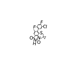 Cc1cc2c(=O)[nH]c(=O)n3c2c(c1-c1cc(Cl)c(F)cc1F)SCC1(CC1)C3